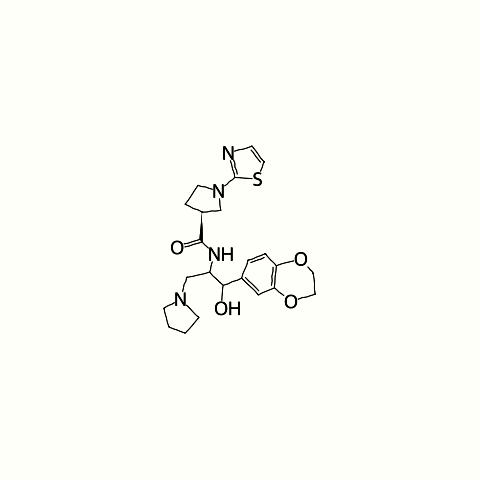 O=C(NC(CN1CCCC1)C(O)c1ccc2c(c1)OCCO2)[C@H]1CCN(c2nccs2)C1